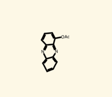 CC(=O)Oc1cccc2nc3ccccc3nc12